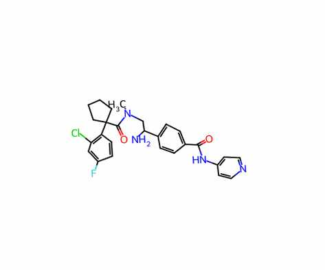 CN(CC(N)c1ccc(C(=O)Nc2ccncc2)cc1)C(=O)C1(c2ccc(F)cc2Cl)CCCC1